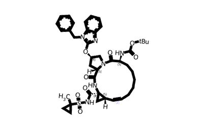 CC(C)(C)OC(=O)N[C@H]1CCCCC/C=C\[C@@H]2C[C@@]2(C(=O)NS(=O)(=O)C2(C)CC2)NC(=O)[C@@H]2C[C@@H](Oc3nc4ccccc4n3Cc3ccccc3)CN2C1=O